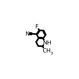 CC1CCc2c(ccc(F)c2C#N)N1